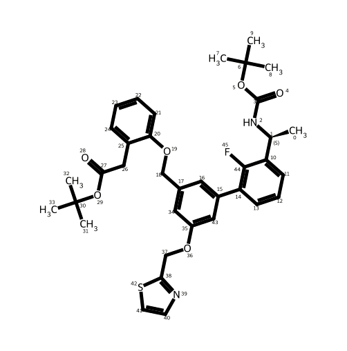 C[C@H](NC(=O)OC(C)(C)C)c1cccc(-c2cc(COc3ccccc3CC(=O)OC(C)(C)C)cc(OCc3nccs3)c2)c1F